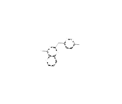 Cc1ccc(Cc2nc(N)c3ncccc3n2)nn1